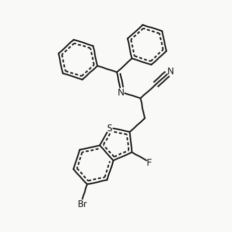 N#CC(Cc1sc2ccc(Br)cc2c1F)N=C(c1ccccc1)c1ccccc1